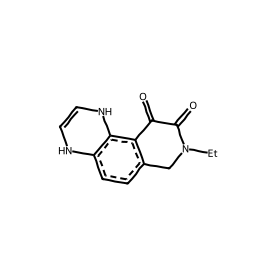 CCN1Cc2ccc3c(c2C(=O)C1=O)NC=CN3